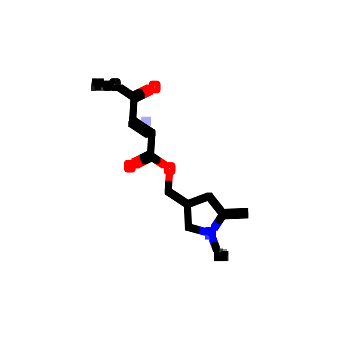 C=C1CC(COC(=O)/C=C/C(=O)OC)CN1CC